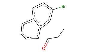 Brc1ccc2ccccc2c1.CCC=O